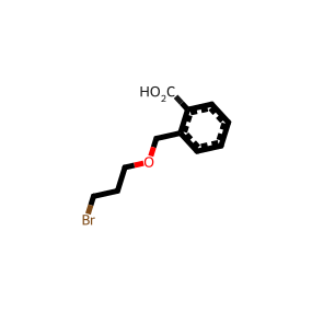 O=C(O)c1ccccc1COCCCBr